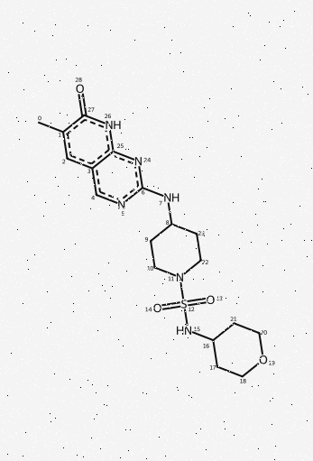 Cc1cc2cnc(NC3CCN(S(=O)(=O)NC4CCOCC4)CC3)nc2[nH]c1=O